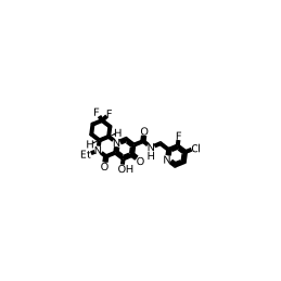 CCN1C(=O)c2c(O)c(=O)c(C(=O)NCc3nccc(Cl)c3F)cn2[C@@H]2CC(F)(F)CC[C@@H]21